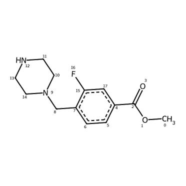 COC(=O)c1ccc(CN2CCNCC2)c(F)c1